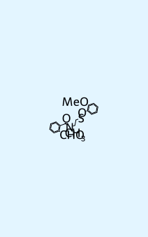 COc1ccccc1OSCCN(C)C(=O)c1ccccc1C=O